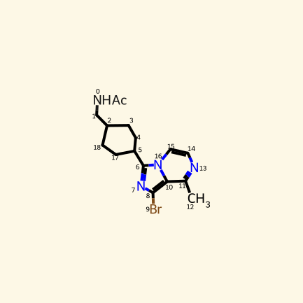 CC(=O)NCC1CCC(c2nc(Br)c3c(C)nccn23)CC1